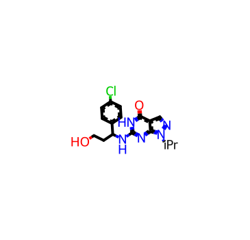 CC(C)n1ncc2c(=O)[nH]c(NC(CCO)c3ccc(Cl)cc3)nc21